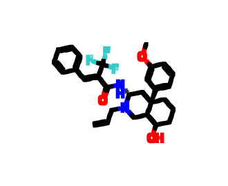 C=CCN1CC2C(O)CCC[C@@]2(c2cccc(OC)c2)C[C@H]1NC(=O)C(=Cc1ccccc1)C(F)(F)F